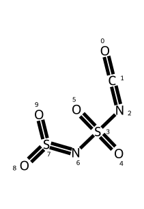 O=C=NS(=O)(=O)N=S(=O)=O